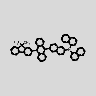 CC1(C)c2ccccc2-c2ccc(-c3c4ccccc4c(-c4ccc5cc(N(c6cccc7ccccc67)c6cccc7ccccc67)ccc5c4)c4ccccc34)cc21